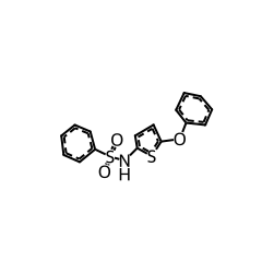 O=S(=O)(Nc1ccc(Oc2ccccc2)s1)c1ccccc1